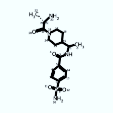 CC(NC(=O)c1ccc(S(N)(=O)=O)cc1)C1CCN(C(=O)[C@H](C)N)CC1